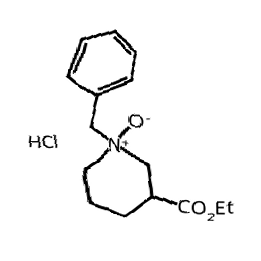 CCOC(=O)C1CCC[N+]([O-])(Cc2ccccc2)C1.Cl